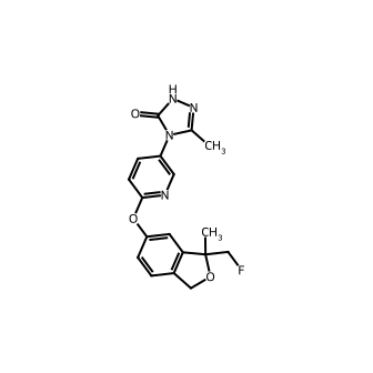 Cc1n[nH]c(=O)n1-c1ccc(Oc2ccc3c(c2)C(C)(CF)OC3)nc1